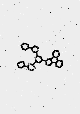 c1ccc(-c2ccnc(-c3cc(-c4ccc5c6ccccc6c6ccccc6c5c4)cc(-c4nccc(-c5ccccc5)n4)n3)n2)cc1